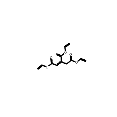 C=COC(=O)C=C(CC(=O)OC=C)C(=O)OC=C